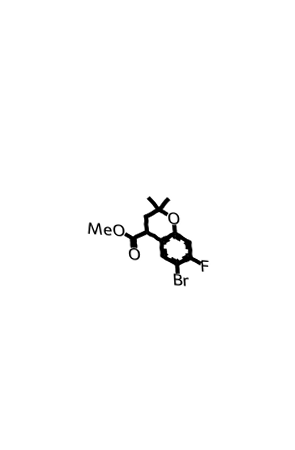 COC(=O)C1CC(C)(C)Oc2cc(F)c(Br)cc21